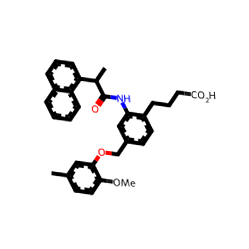 COc1ccc(C)cc1OCc1ccc(CCCC(=O)O)c(NC(=O)C(C)c2cccc3ccccc23)c1